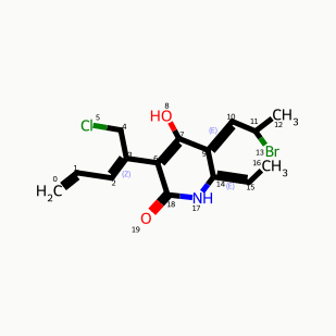 C=C/C=C(\CCl)c1c(O)c(=C/C(C)Br)/c(=C\C)[nH]c1=O